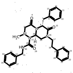 CN1CC(=O)N2[C@H](Cc3ccccc3)C(=O)N(CCc3ccccc3)C[C@H]2N1C(=O)NCc1ccccc1